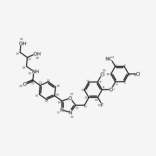 N#Cc1cc(Cl)cc(Oc2c(Cl)ccc(Cc3nnc(-c4ccc(C(=O)NCC(O)CO)cc4)o3)c2F)c1